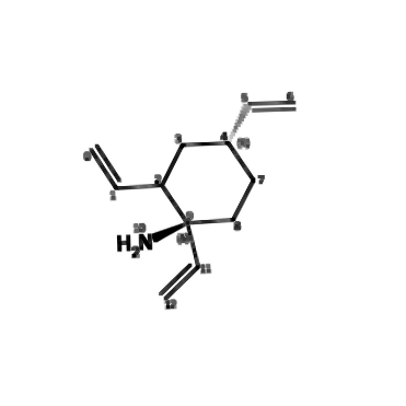 C=CC1C[C@H](C=C)CC[C@]1(N)C=C